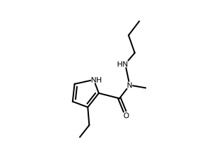 CCCNN(C)C(=O)c1[nH]ccc1CC